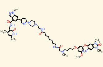 CCCOc1cc(OCCCCN(C)CC(=O)NCCCCCCCC(=O)NCCN2CCN(c3ccc(-c4cc(C(=O)NCc5c(C)cc(C)[nH]c5=O)c5cnn(C(C)C)c5c4)cn3)CC2)cc(Oc2cc3c(cc2N)n(C)c(=O)n3C)c1